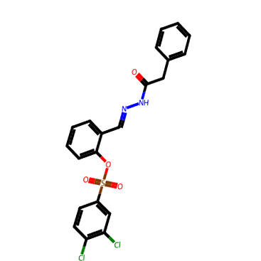 O=C(Cc1ccccc1)N/N=C/c1ccccc1OS(=O)(=O)c1ccc(Cl)c(Cl)c1